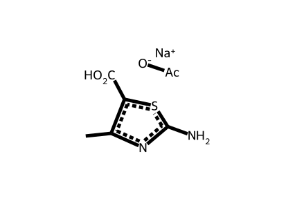 CC(=O)[O-].Cc1nc(N)sc1C(=O)O.[Na+]